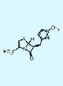 Cn1ccc(/C=C2/C(=O)N3C(C(=O)O)=CS[C@H]23)n1